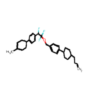 C=CCCC1CCC(c2ccc(COC(F)(F)C(F)c3ccc(C4CCC(C)CC4)cc3)cc2)CC1